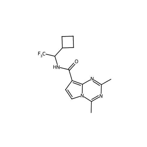 Cc1nc(C)n2ccc(C(=O)NC(C3CCC3)C(F)(F)F)c2n1